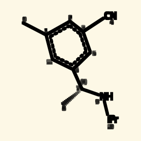 Cc1cc(C#N)cc([C@@H](C)NC(C)C)c1